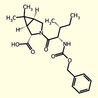 CC[C@@H](C)[C@H](NC(=O)OCc1ccccc1)C(=O)N1C[C@H]2[C@@H]([C@H]1C(=O)O)C2(C)C